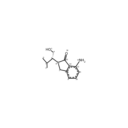 CC(C)[C@H](CO)N1Cc2cccc(N)c2C1=O